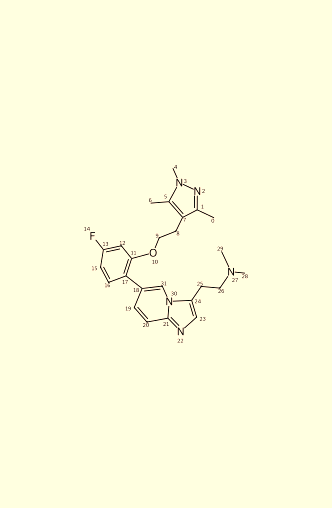 Cc1nn(C)c(C)c1CCOc1cc(F)ccc1-c1ccc2ncc(CCN(C)C)n2c1